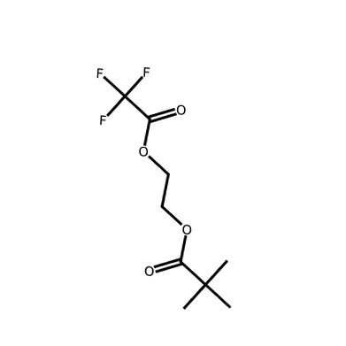 CC(C)(C)C(=O)OCCOC(=O)C(F)(F)F